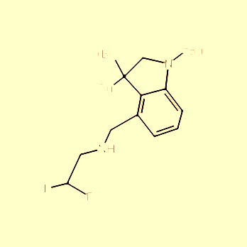 CC(C)(C)N1CC(C(C)(C)C)(C(C)(C)C)c2c(CNCC(F)F)cccc21